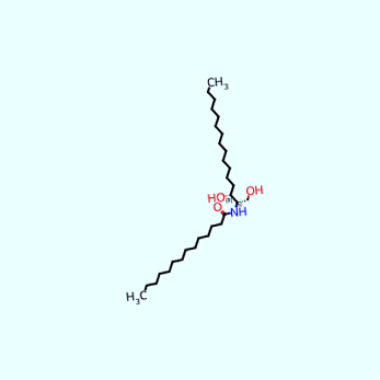 CCCCCCCCCCCCCC(=O)N[C@@H](CO)[C@H](O)CCCCCCCCCCCCC